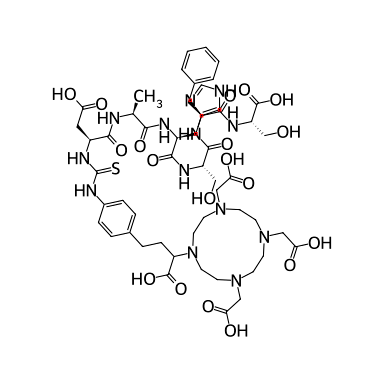 C[C@H](NC(=O)[C@H](CC(=O)O)NC(=S)Nc1ccc(CCC(C(=O)O)N2CCN(CC(=O)O)CCN(CC(=O)O)CCN(CC(=O)O)CC2)cc1)C(=O)N[C@@H](Cc1c[nH]cn1)C(=O)N[C@@H](CO)C(=O)N[C@@H](Cc1ccccc1)C(=O)N[C@@H](CO)C(=O)O